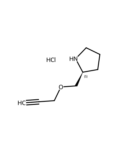 C#CCOC[C@@H]1CCCN1.Cl